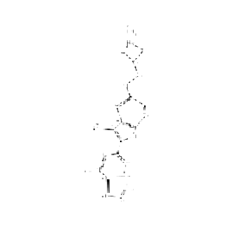 Cc1cc(-c2[nH]c3ccc(OCC4CN(C)C4)cc3c2C(C)C)cn2ncnc12